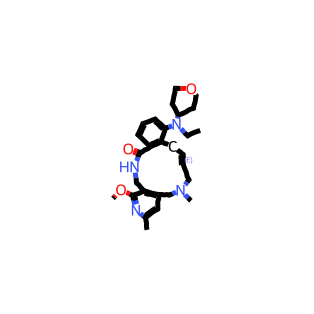 CCN(c1cccc2c1C/C=C/CN(C)Cc1cc(C)nc(OC)c1CNC2=O)C1CCOCC1